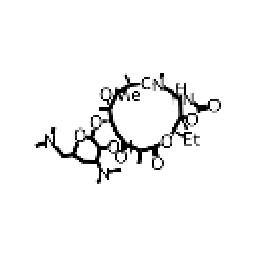 CC[C@H]1OC(=O)C(C)C(=O)[C@H](C)[C@@H](OC2OC(CN(C)C)CC(N(C)C)C2O)[C@](C)(OC)C[C@@H](C)CN(C)[C@H](C)[C@H]2NC(=O)O[C@@]21C